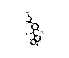 [C-]#[N+]CC(=O)N1CCC(C)C(N(C)c2ncnc3c2OCN3)C1